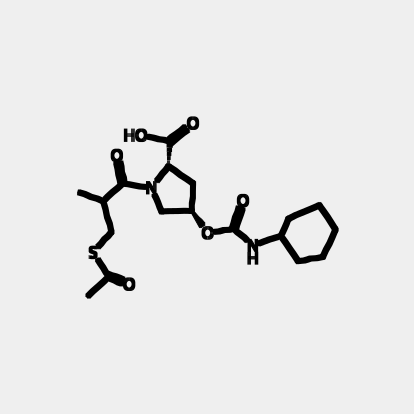 CC(=O)SCC(C)C(=O)N1C[C@H](OC(=O)NC2CCCCC2)C[C@H]1C(=O)O